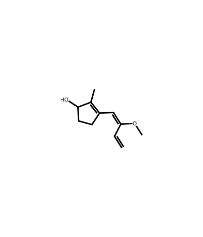 C=C/C(=C\C1=C(C)C(O)CC1)OC